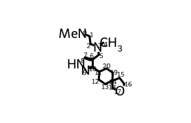 CNCCN(C)Cc1c[nH]nc1C1CCC2(CCOC2)CC1